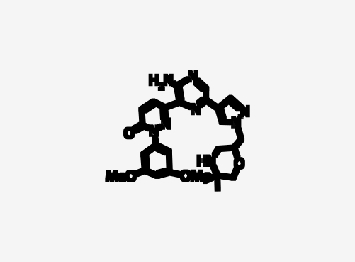 COc1cc(OC)cc(-n2nc(-c3nc(-c4cnn(CC5CNC(C)(C)CO5)c4)cnc3N)ccc2=O)c1